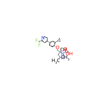 CC(C)CC(C)(COc1ccc(-c2ccnc(C(F)F)c2)cc1C1CC1)NC(=O)O